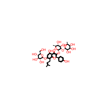 CC(C)=CCc1c(O[C@@H]2O[C@H](CO)[C@@H](O)[C@H](O)[C@H]2O)cc(O)c2c(=O)c(O[C@@H]3O[C@@H](C)[C@H](O)[C@@H](O)[C@H]3O[C@@H]3O[C@@H](C)[C@H](O)[C@@H](O)[C@H]3O)c(-c3ccc(O)cc3)oc12